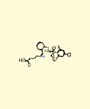 Cc1cc(Cl)cc(Cl)c1S(=O)(=O)NCC1CC=CCC1/C=C\CCCC(=O)O